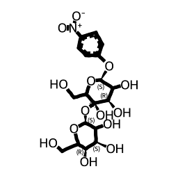 O=[N+]([O-])c1ccc(O[C@@H]2OC(CO)[C@@](O)(O[C@@H]3OC(CO)[C@H](O)[C@H](O)C3O)[C@H](O)C2O)cc1